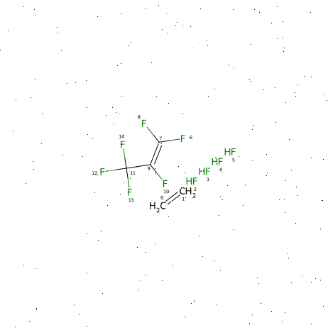 C=C.F.F.F.F.FC(F)=C(F)C(F)(F)F